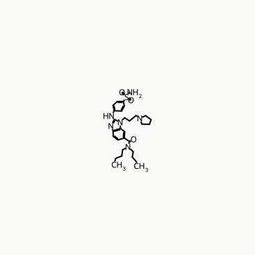 CCCCN(CCCC)C(=O)c1ccc2nc(Nc3ccc(S(N)(=O)=O)cc3)n(CCCN3CCCC3)c2c1